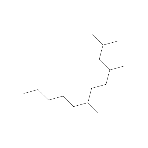 CCCCCC(C)CCC(C)CC(C)C